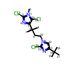 Cn1c(Cl)nc(C(C)(C)CCn2cc(C(C)(C)C)nc2Cl)c1Cl